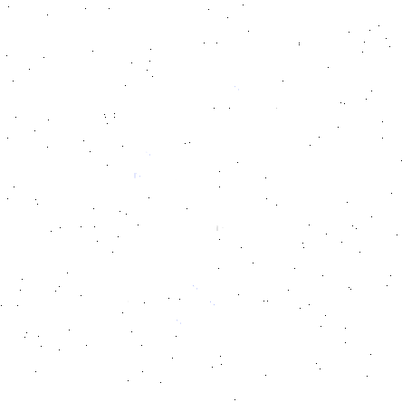 Cc1cc(-c2cc3[nH]nc(C4CCC(NC5CC5)CC4)c3cc2C(C)C)cn2ncnc12